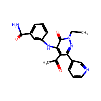 CCn1nc(-c2cccnc2)c(C(C)=O)c(Nc2cccc(C(N)=O)c2)c1=O